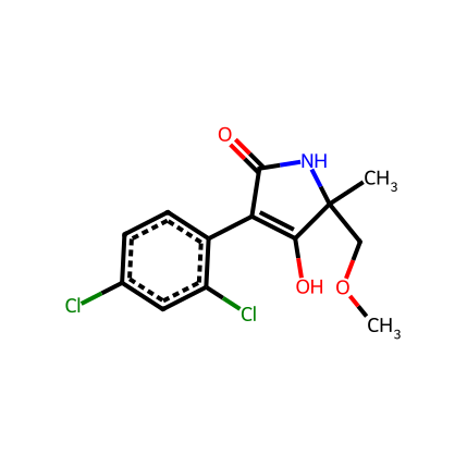 COCC1(C)NC(=O)C(c2ccc(Cl)cc2Cl)=C1O